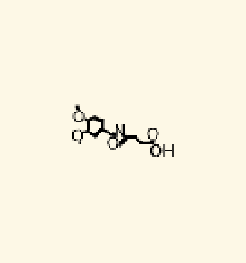 COc1ccc(-c2nc(CCC(=O)O)co2)cc1OC